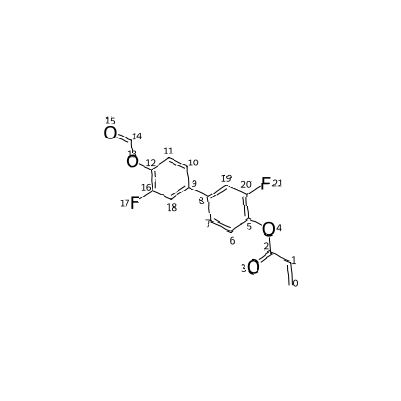 C=CC(=O)Oc1ccc(-c2ccc(OC=O)c(F)c2)cc1F